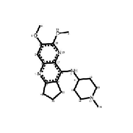 COc1cc2nc3c(c(NC4CCN(C)CC4)c2nc1OC)CCC3